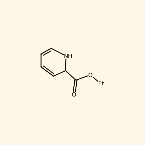 CCOC(=O)C1C=CC=CN1